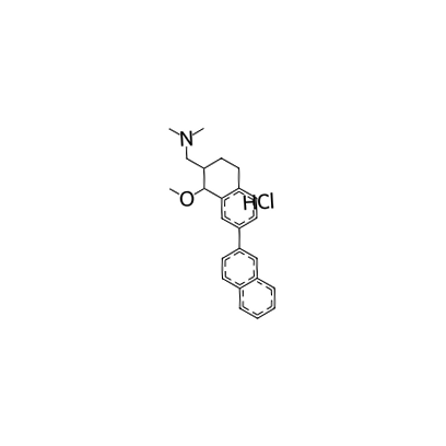 COC1c2cc(-c3ccc4ccccc4c3)ccc2CCC1CN(C)C.Cl